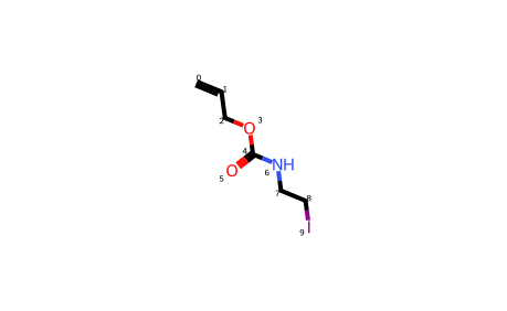 C=CCOC(=O)NCCI